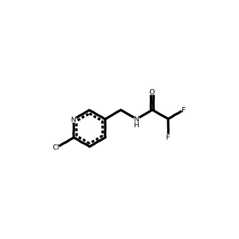 O=C(NCc1ccc(Cl)nc1)C(F)F